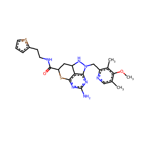 COc1c(C)cnc(CN2NC3CC(C(=O)NCCc4cccs4)Sc4nc(N)nc2c43)c1C